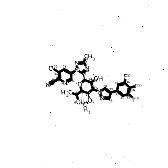 CO[C@H]1C(C(C)O)O[C@@H](c2nc(C)nn2-c2cnc(C#N)c(Cl)c2)C(O)C1n1cc(-c2cc(F)c(F)c(F)c2)cn1